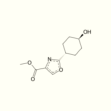 COC(=O)c1coc([C@H]2CC[C@H](O)CC2)n1